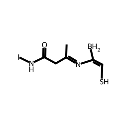 BC(=C/S)/N=C(\C)CC(=O)NI